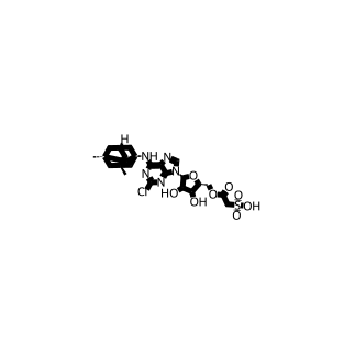 C[C@]12C[C@@H]3C[C@](C)(C1)C[C@@](Nc1nc(Cl)nc4c1ncn4[C@@H]1O[C@H](COC(=O)CS(=O)(=O)O)C(O)C1O)(C3)C2